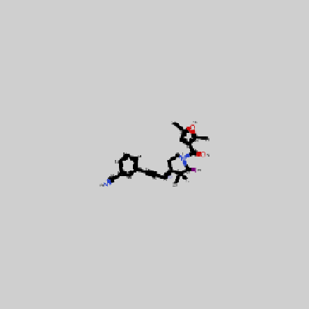 Cc1cc(C(=O)N2CC/C(=C\C#Cc3cccc(C#N)c3)C(C)(C)C2I)c(C)o1